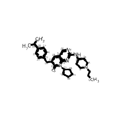 CCCN1CCC(Nc2ncc3cc(Cc4ccc(C(C)C)cc4)c(=O)n(C4CCCC4)c3n2)CC1